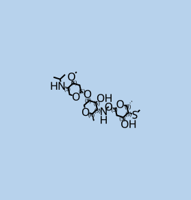 CO[C@H]1C[C@H](O[C@H]2CO[C@H](C)[C@@H](NO[C@H]3C[C@H](O)[C@H](SC)[C@@H](C)O3)[C@@H]2O)OC[C@@H]1NC(C)C